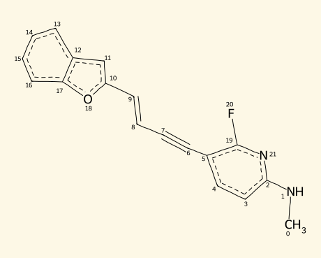 CNc1ccc(C#C/C=C/c2cc3ccccc3o2)c(F)n1